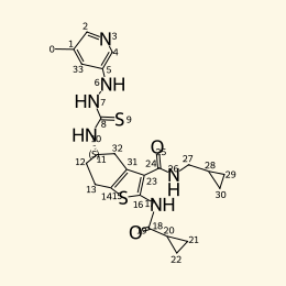 Cc1cncc(NNC(=S)N[C@H]2CCc3sc(NC(=O)C4CC4)c(C(=O)NCC4CC4)c3C2)c1